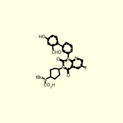 CC(C)(C)N(C(=O)O)C1CCC(n2c(=O)c3cc(F)cnc3n(-c3cccc(-c4ccc(O)cc4C=O)c3)c2=O)CC1